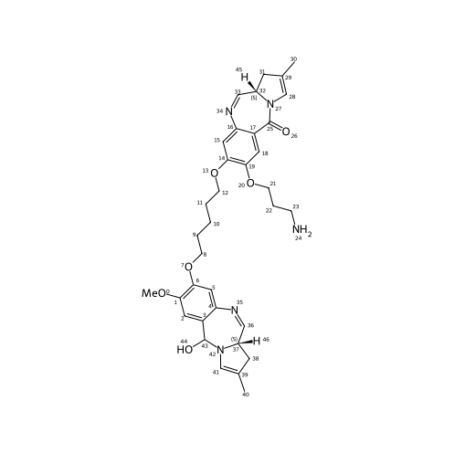 COc1cc2c(cc1OCCCCCOc1cc3c(cc1OCCCN)C(=O)N1C=C(C)C[C@H]1C=N3)N=C[C@@H]1CC(C)=CN1C2O